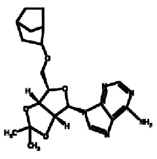 CC1(C)O[C@@H]2[C@H](O1)[C@@H](COC1CC3CCC1C3)O[C@H]2n1cnc2c(N)ncnc21